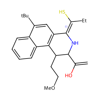 C=C(O)C1N/C(=C(/S)CC)c2cc(C(C)(C)C)c3ccccc3c2C1CCOC